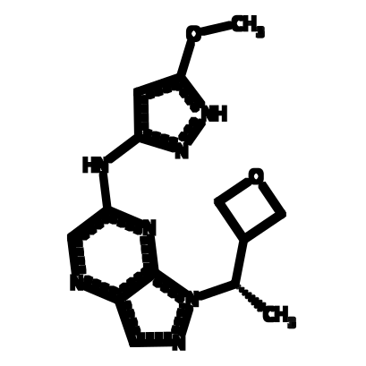 COc1cc(Nc2cnc3cnn([C@@H](C)C4COC4)c3n2)n[nH]1